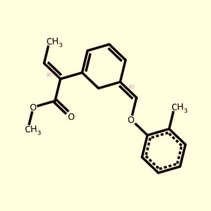 C/C=C(/C(=O)OC)C1=CC=C/C(=C/Oc2ccccc2C)C1